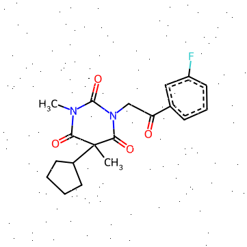 CN1C(=O)N(CC(=O)c2cccc(F)c2)C(=O)C(C)(C2CCCC2)C1=O